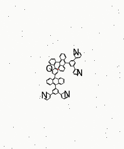 c1cncc(-c2cc(-c3cccnc3)cc(-c3c4ccccc4c(-c4ccc5c(c4)oc4cccc(-c6c7ccccc7c(-c7cc(-c8cccnc8)cc(-c8cccnc8)c7)c7ccccc67)c45)c4ccccc34)c2)c1